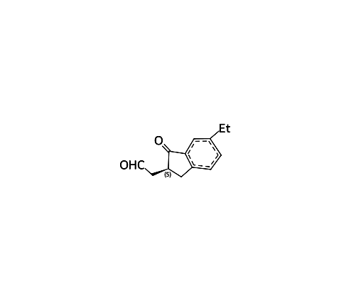 CCc1ccc2c(c1)C(=O)[C@H](CC=O)C2